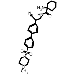 CN1CCN(S(=O)(=O)c2ccc(-c3ccc(C(C#N)CNC(=O)C4(N)CCCCC4)cc3)cc2)CC1